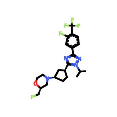 CC(C)n1nc(-c2ccc(C(F)(F)F)c(F)c2)nc1[C@H]1CC[C@@H](N2CCO[C@H](CF)C2)C1